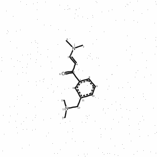 CN(C)C=CC(=O)c1cccc(CN(C)C)c1